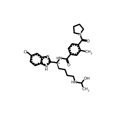 Cc1cc(C(=O)N[C@@H](CCCCNC(C)O)c2nc3cc(Cl)ccc3[nH]2)ccc1C(=O)N1CCCC1